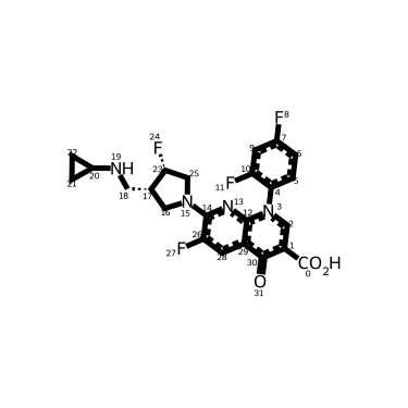 O=C(O)c1cn(-c2ccc(F)cc2F)c2nc(N3C[C@H](CNC4CC4)[C@H](F)C3)c(F)cc2c1=O